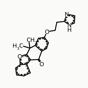 CC1(C)c2cc(OCCc3ncc[nH]3)ccc2C(=O)c2c1oc1ccccc21